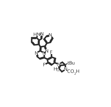 CC(C)(C)[C@]12C[C@@H](CN1C(=O)O)N(c1cc(F)c(-c3ccnc4c(-c5cccc6[nH]ncc56)c(-c5ccncc5)nn34)c(F)c1)C2